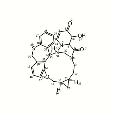 O=C1C=CN2C(C(=O)N3CC[C@H]4C[C@H]4COc4cccc5c4[C@@H](c4ccccc4SC5)N2C3)C1O